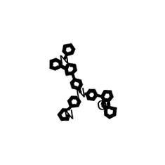 c1ccc(-n2c3ccccc3c3cc(-c4ccc(N(c5ccc(-c6ccccn6)cc5)c5ccc(-c6cccc7c6oc6ccccc67)cc5)cc4)ccc32)cc1